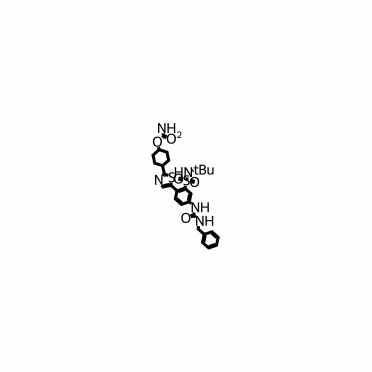 CC(C)(C)NS(=O)(=O)c1cc(NC(=O)NCc2ccccc2)ccc1-c1cnc(C2CCC(OC(N)=O)CC2)s1